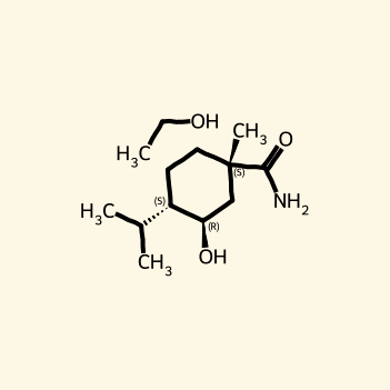 CC(C)[C@@H]1CC[C@](C)(C(N)=O)C[C@H]1O.CCO